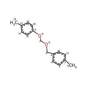 Cc1ccc(COCOc2ccc(C)cc2)cc1